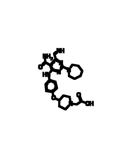 N=Cc1nc(N2CCCCCC2)nc(Nc2ccc(OC3CCN(CC(=O)O)CC3)cc2)c1C(N)=O